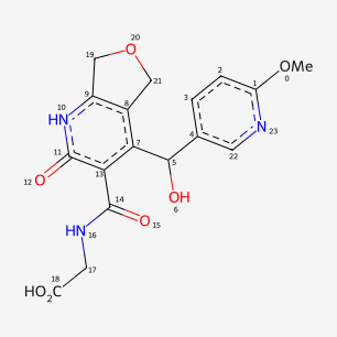 COc1ccc(C(O)c2c3c([nH]c(=O)c2C(=O)NCC(=O)O)COC3)cn1